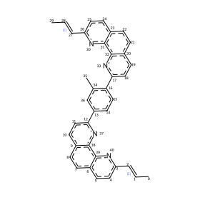 C/C=C/c1ccc2ccc3ccc(-c4ccc(-c5ccc6ccc7ccc(/C=C/C)nc7c6n5)c(C)c4)nc3c2n1